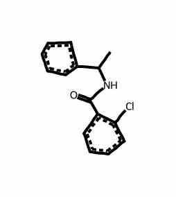 CC(NC(=O)c1ccccc1Cl)c1ccccc1